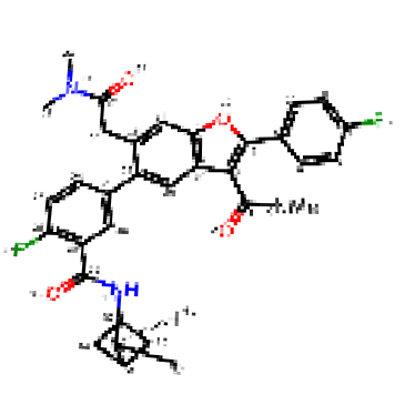 CNC(=O)c1c(-c2ccc(F)cc2)oc2cc(CC(=O)N(C)C)c(-c3ccc(F)c(C(=O)NC45CC(C4)[C@@H]5C)c3)cc12